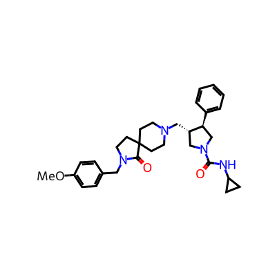 COc1ccc(CN2CCC3(CCN(C[C@H]4CN(C(=O)NC5CC5)C[C@@H]4c4ccccc4)CC3)C2=O)cc1